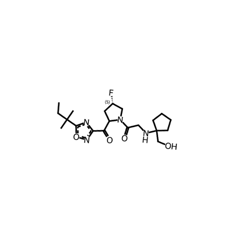 CCC(C)(C)c1nc(C(=O)C2C[C@H](F)CN2C(=O)CNC2(CO)CCCC2)no1